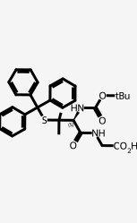 CC(C)(C)OC(=O)N[C@@H](C(=O)NCC(=O)O)C(C)(C)SC(c1ccccc1)(c1ccccc1)c1ccccc1